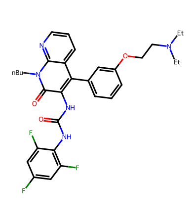 CCCCn1c(=O)c(NC(=O)Nc2c(F)cc(F)cc2F)c(-c2cccc(OCCN(CC)CC)c2)c2cccnc21